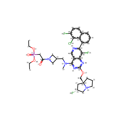 CCOP(=O)(CC(=O)N1CC(CN(C)c2nc(OC[C@@]34CCCN3C[C@H](F)C4)nc3c(F)c(-c4cccc5ccc(F)c(Cl)c45)ncc23)C1)OCC